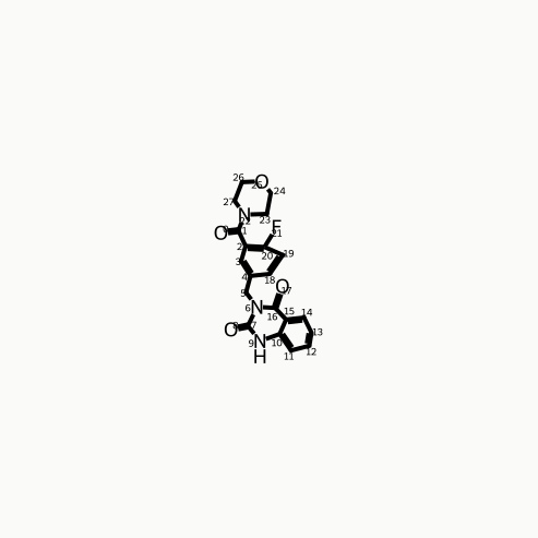 O=C(c1cc(Cn2c(=O)[nH]c3ccccc3c2=O)ccc1F)N1CCOCC1